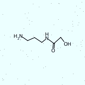 NCCCNC(=O)CO